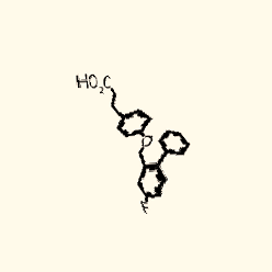 O=C(O)CCc1ccc(OCc2cc(F)ccc2-c2ccccc2)cc1